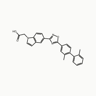 Cc1ccccc1-c1ccc(-c2nc(-c3ccc4c(ccn4CC(=O)O)c3)no2)cc1C